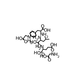 CC(C)CC(N)C(=O)O.NC(CCC(=O)O)C(=O)O.NC(Cc1ccccc1)C(=O)O.NCC(=O)O.NCC(=O)O